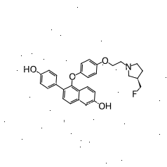 Oc1ccc(-c2ccc3cc(O)ccc3c2Oc2ccc(OCCN3CC[C@@H](CF)C3)cc2)cc1